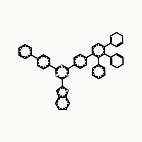 C1=CC(c2ccc(-c3ccc(-c4nc(-c5ccc(-c6ccccc6)cc5)nc(-c5cc6ccccc6s5)n4)cc3)c(-c3ccccc3)c2C2=CCCC=C2)=CCC1